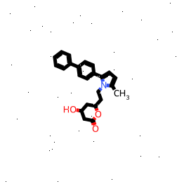 Cc1ccc(-c2ccc(-c3ccccc3)cc2)n1CCC1CC(O)CC(=O)O1